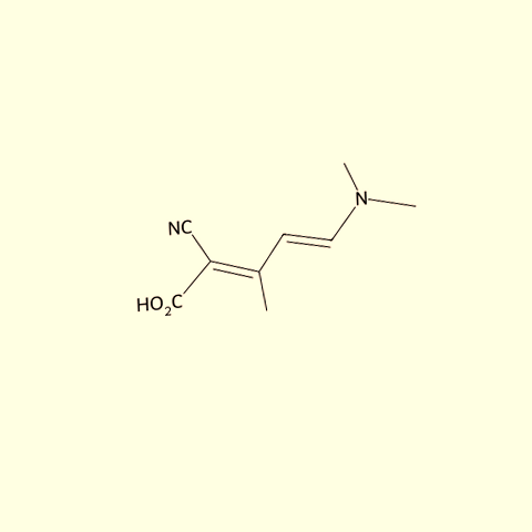 CC(/C=C/N(C)C)=C(/C#N)C(=O)O